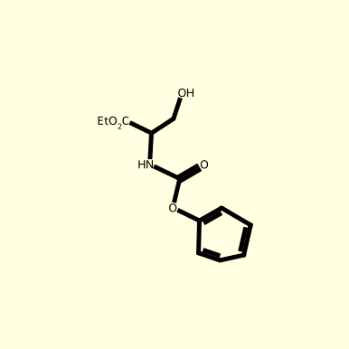 CCOC(=O)C(CO)NC(=O)Oc1ccccc1